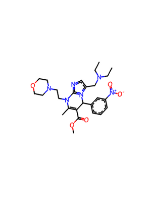 CCN(CC)Cc1cnc2n1C(c1cccc([N+](=O)[O-])c1)C(C(=O)OC)=C(C)N2CCN1CCOCC1